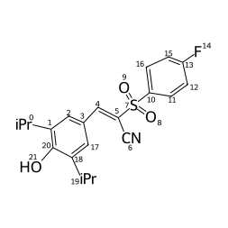 CC(C)c1cc(/C=C(\C#N)S(=O)(=O)c2ccc(F)cc2)cc(C(C)C)c1O